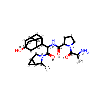 CC(C)C(N)C(=O)N1CCCC1C(=O)NC(C(=O)N1CC2CC2C1C#N)C1C2CC3CC1CC(O)(C3)C2